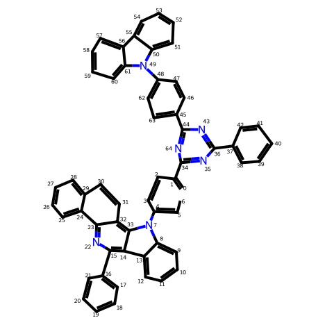 C=C(/C=C\C(=C/C)n1c2ccccc2c2c(-c3ccccc3)nc3c4ccccc4ccc3c21)c1nc(-c2ccccc2)nc(-c2ccc(-n3c4ccccc4c4ccccc43)cc2)n1